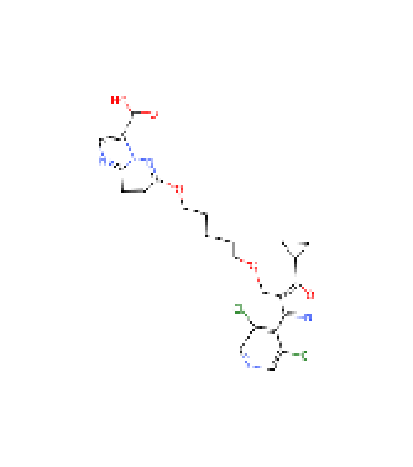 O=C(O)c1cnc2ccc(OCCCCCOCc3c(-c4c(Cl)cncc4Cl)noc3C3CC3)nn12